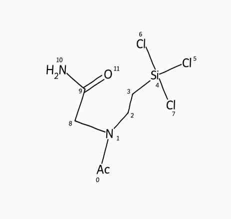 CC(=O)N(CC[Si](Cl)(Cl)Cl)CC(N)=O